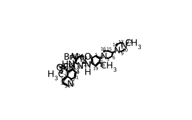 COc1cc(N2CCC(N3CCN(C)CC3)CC2)c(C)cc1Nc1ncc(Br)c(Nc2ccc3ncccc3c2P(C)(C)=O)n1